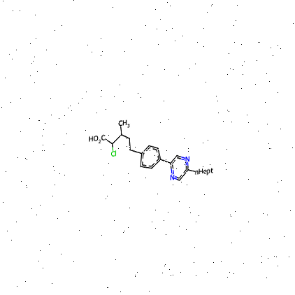 CCCCCCCc1cnc(-c2ccc(CCC(C)C(Cl)C(=O)O)cc2)cn1